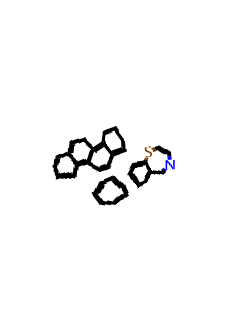 C1=CC=CCC=C1.C1=CSc2ccccc2C=N1.C1=c2ccc3c(c2CCC1)CC=c1ccccc1=3